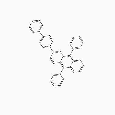 c1ccc(-c2c3ccccc3c(-c3ccccc3)c3cc(-c4ccc(-c5ccccn5)cc4)ccc23)cc1